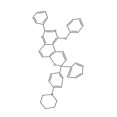 C1=CC(c2ccccc2)(c2ccc(N3CCCCC3)cc2)Oc2ccc3nc(-c4ccccc4)nc(Oc4ccccc4)c3c21